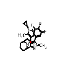 Cc1c(C(=O)N2C3CCCC2c2nn(C)c(-c4cc(F)c(F)c(F)c4)c2C3)cnn1C1CC1